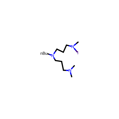 CCCCN(CCCN(C)C)CCCN(C)I